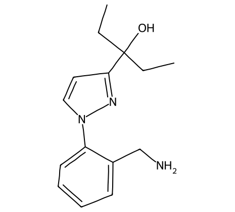 CCC(O)(CC)c1ccn(-c2ccccc2CN)n1